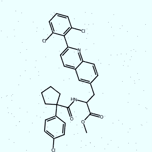 COC(=O)C(Cc1ccc2nc(-c3c(Cl)cccc3Cl)ccc2c1)NC(=O)C1(c2ccc(Cl)cc2)CCCC1